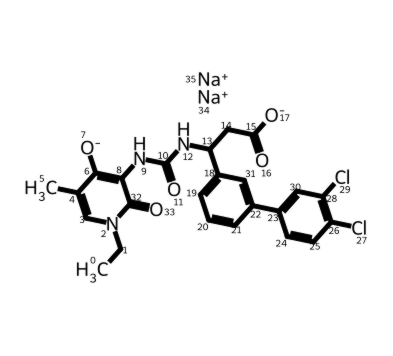 CCn1cc(C)c([O-])c(NC(=O)NC(CC(=O)[O-])c2cccc(-c3ccc(Cl)c(Cl)c3)c2)c1=O.[Na+].[Na+]